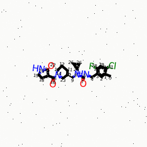 Cc1cc(CNC(=O)N(C[C@@H]2CCCN(C(=O)C3CCNC3=O)C2)C2CC2)c(F)cc1Cl